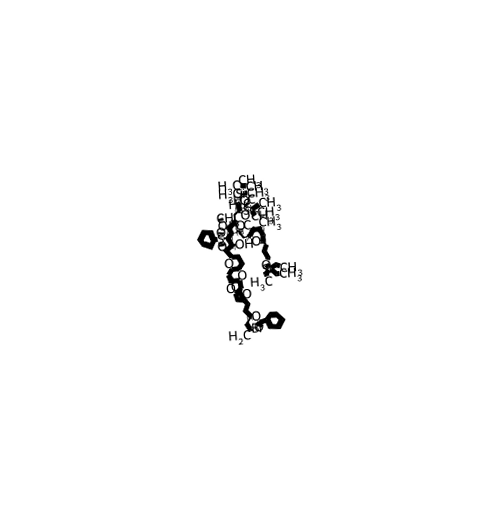 C=C(Br)C[C@@H](CCC12CC3OC4C(OC5CCC(C[C@H](O)[C@H]([C@@H]6[C@@H](OC)[C@@H](C[C@@H](CO[Si](C)(C)C(C)(C)C)O[Si](C)(C)C(C)(C)C)O[C@H]6C[C@H]6O[C@@H](CCCO[Si](CC)(CC)CC)C[C@@H](C)C6=C)S(=O)(=O)c6ccccc6)OC5C4O1)C3O2)OC(=O)c1ccccc1